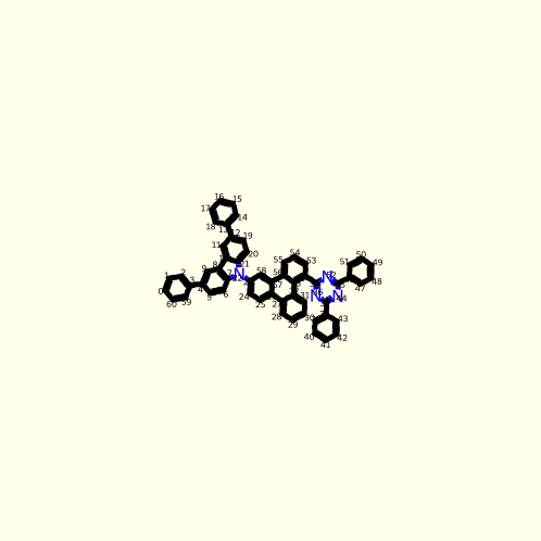 c1ccc(-c2ccc3c(c2)c2cc(-c4ccccc4)ccc2n3-c2ccc3c4ccccc4c4c(-c5nc(-c6ccccc6)nc(-c6ccccc6)n5)cccc4c3c2)cc1